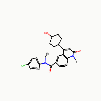 CCN(C(=O)c1ccc2c(c1)c(C1CCC(O)CC1)cc(=O)n2CC)c1ccc(Cl)cc1